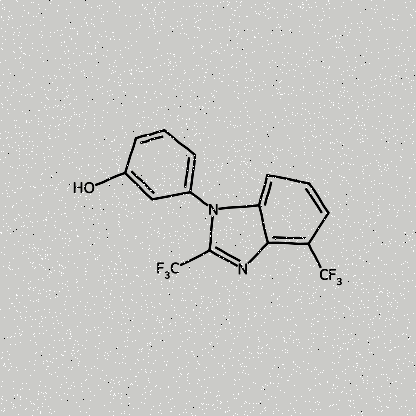 Oc1cccc(-n2c(C(F)(F)F)nc3c(C(F)(F)F)cccc32)c1